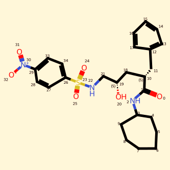 O=C(NC1CCCCCC1)[C@@H](Cc1ccccc1)C[C@H](O)CNS(=O)(=O)c1ccc([N+](=O)[O-])cc1